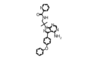 CC(C)(CNC(=O)c1ccccn1)n1nc(-c2ccc(Oc3ccccc3)cc2)c2c(N)ncnc21